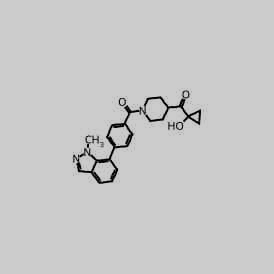 Cn1ncc2cccc(-c3ccc(C(=O)N4CCC(C(=O)C5(O)CC5)CC4)cc3)c21